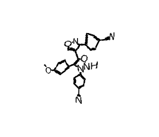 COc1ccc(C2=C(c3conc3-c3ccc(C#N)cc3)ONN2c2ccc(C#N)cc2)cc1